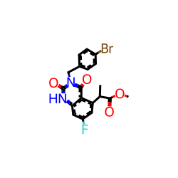 COC(=O)C(C)c1cc(F)cc2[nH]c(=O)n(Cc3ccc(Br)cc3)c(=O)c12